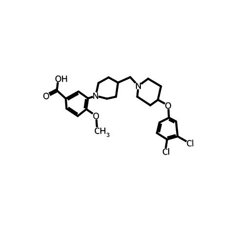 COc1ccc(C(=O)O)cc1N1CCC(CN2CCC(Oc3ccc(Cl)c(Cl)c3)CC2)CC1